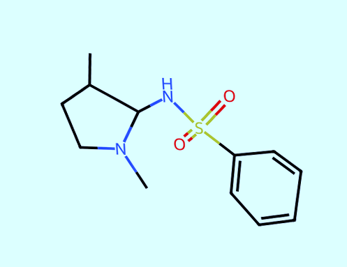 CC1CCN(C)C1NS(=O)(=O)c1ccccc1